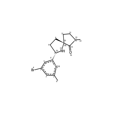 Cc1cc(Br)cc([C@@H]2CC[C@]3(CCN(C)C3=O)N2)n1